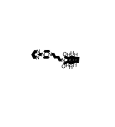 O=C1[C@@H]2[C@@H]3C=C[C@@H]([C@@H]4C=C[C@@H]43)[C@@H]2C(=O)N1CCCCN1CCN(c2ncccn2)CC1